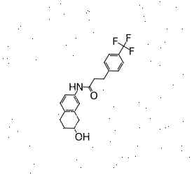 O=C(CCc1ccc(C(F)(F)F)cc1)Nc1ccc2c(c1)CC(O)CC2